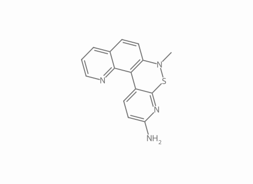 CN1Sc2nc(N)ccc2-c2c1ccc1cccnc21